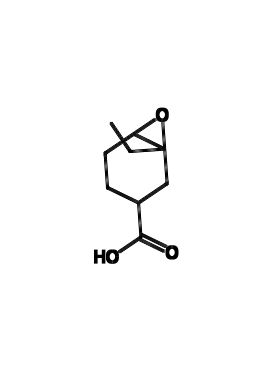 CCC12CC(C(=O)O)CCC1O2